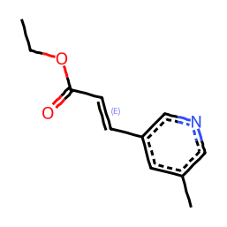 CCOC(=O)/C=C/c1cncc(C)c1